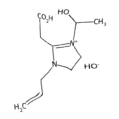 C=CCN1CC[N+](C(C)O)=C1CC(=O)O.[OH-]